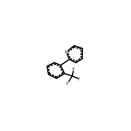 FC(F)(F)c1ccccc1-c1cc[c]cn1